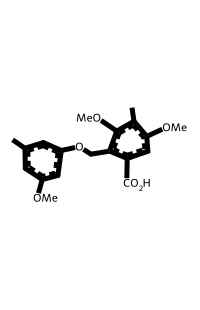 COc1cc(C)cc(OCc2c(C(=O)O)cc(OC)c(C)c2OC)c1